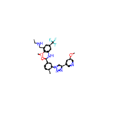 CCNCc1cc(C(F)(F)F)cc(NC(=O)c2ccc(C)c(-n3cc(-c4cncc(OC)c4)nn3)c2)c1OC